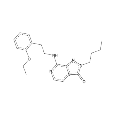 CCCCn1nc2c(NCCc3ccccc3OCC)nccn2c1=O